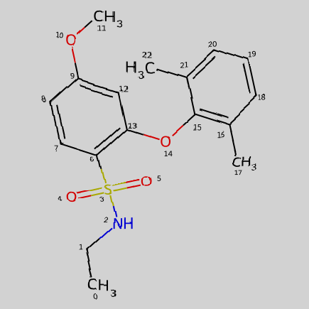 CCNS(=O)(=O)c1ccc(OC)cc1Oc1c(C)cccc1C